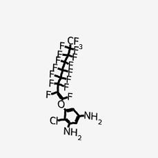 Nc1cc(N)c(Cl)c(OC(F)=C(F)C(F)(F)C(F)(F)C(F)(F)C(F)(F)C(F)(F)C(F)(F)C(F)(F)F)c1